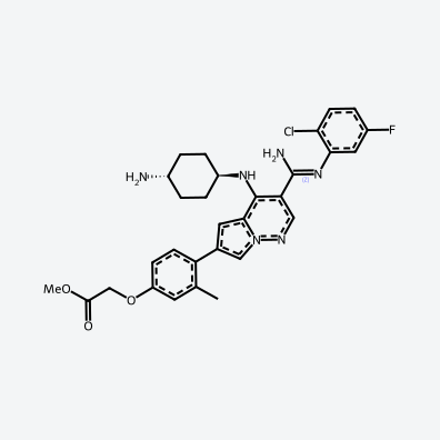 COC(=O)COc1ccc(-c2cc3c(N[C@H]4CC[C@H](N)CC4)c(/C(N)=N/c4cc(F)ccc4Cl)cnn3c2)c(C)c1